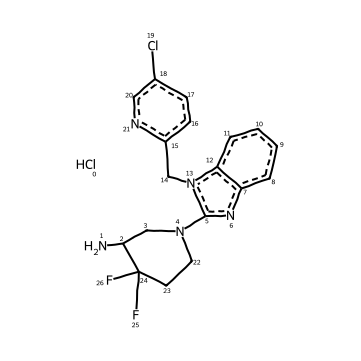 Cl.NC1CN(c2nc3ccccc3n2Cc2ccc(Cl)cn2)CCC1(F)F